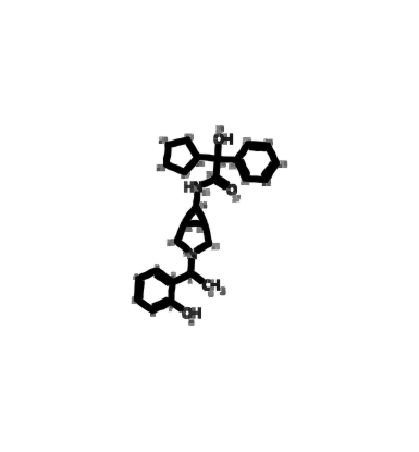 CC(c1ccccc1O)N1CC2C(C1)C2NC(=O)C(O)(c1ccccc1)C1CCCC1